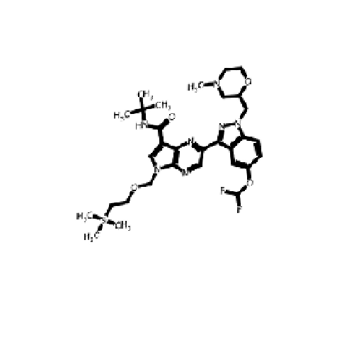 CN1CCOC(Cn2nc(-c3cnc4c(n3)c(C(=O)NC(C)(C)C)cn4COCC[Si](C)(C)C)c3cc(OC(F)F)ccc32)C1